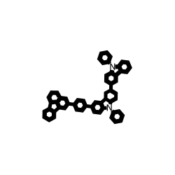 C1=C(c2ccc3c(c2)c2ccccc2n3-c2ccccc2)CC2C(=C1)N(c1ccccc1)c1ccc(-c3ccc(-c4cc5c6c(cccc6c4)-c4ccccc4-5)cc3)cc12